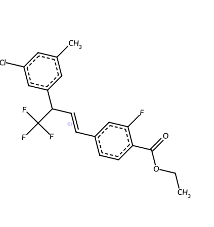 CCOC(=O)c1ccc(/C=C/C(c2cc(C)cc(Cl)c2)C(F)(F)F)cc1F